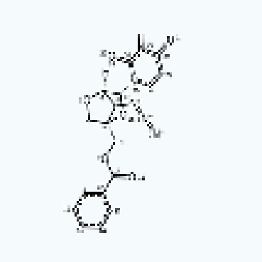 [N-]=[N+]=NC1[C@H]2OC[C@]1(COC(=O)c1ccccc1)O[C@H]2n1ccc(=O)[nH]c1=O